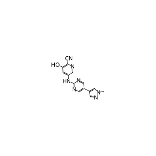 Cn1cc(-c2cnc(Nc3cnc(C#N)c(O)c3)nc2)cn1